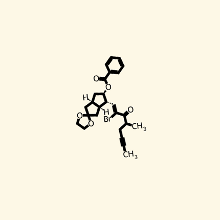 CC#CCC(C)C(=O)C(Br)=C[C@@H]1[C@H]2CC3(C[C@H]2C[C@H]1OC(=O)c1ccccc1)OCCO3